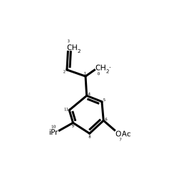 [CH2]C(C=C)c1cc(OC(C)=O)cc(C(C)C)c1